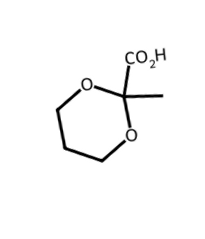 CC1(C(=O)O)OCCCO1